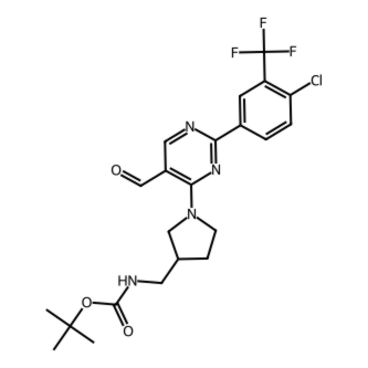 CC(C)(C)OC(=O)NCC1CCN(c2nc(-c3ccc(Cl)c(C(F)(F)F)c3)ncc2C=O)C1